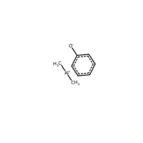 [CH3][Al+][CH3].[O-]c1ccccc1